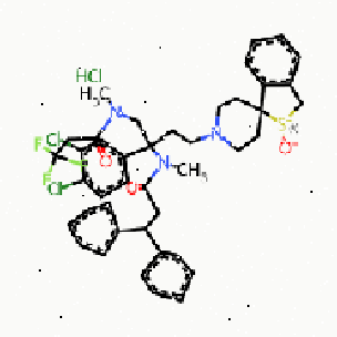 CN(CC(CCN1CCC2(CC1)c1ccccc1C[S@+]2[O-])(c1ccc(Cl)c(Cl)c1)N(C)C(=O)CC(c1ccccc1)c1ccccc1)C(=O)CC(F)(F)F.Cl